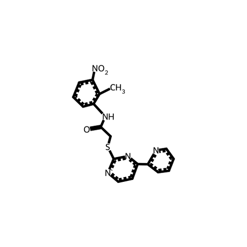 Cc1c(NC(=O)CSc2nccc(-c3ccccn3)n2)cccc1[N+](=O)[O-]